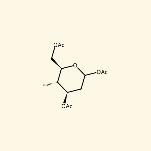 CC(=O)OC[C@H]1OC(OC(C)=O)C[C@@H](OC(C)=O)[C@@H]1C